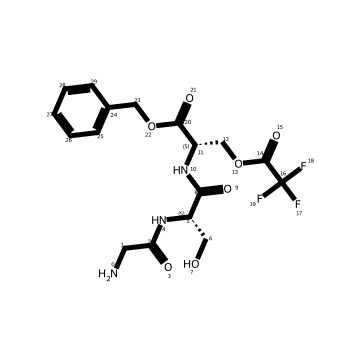 NCC(=O)N[C@@H](CO)C(=O)N[C@@H](COC(=O)C(F)(F)F)C(=O)OCc1ccccc1